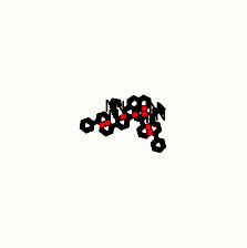 c1ccc(-c2ccc(N(c3ccccc3-c3ccccc3)c3nccn3-c3ccc4ccc5c(-n6ccnc6N(c6ccc(-c7ccccc7)cc6)c6ccccc6-c6ccccc6)ccc6ccc3c4c65)cc2)cc1